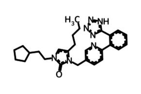 CCCCc1cn(CCC2CCCC2)c(=O)n1Cc1ccc(-c2ccccc2-c2nnn[nH]2)nc1